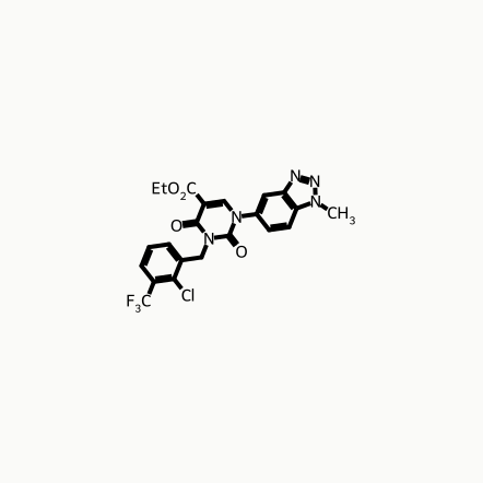 CCOC(=O)c1cn(-c2ccc3c(c2)nnn3C)c(=O)n(Cc2cccc(C(F)(F)F)c2Cl)c1=O